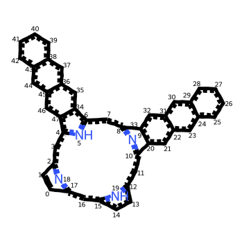 C1=Cc2cc3[nH]c(cc4nc(cc5ccc(cc1n2)[nH]5)-c1cc2cc5ccccc5cc2cc1-4)c1cc2cc4ccccc4cc2cc31